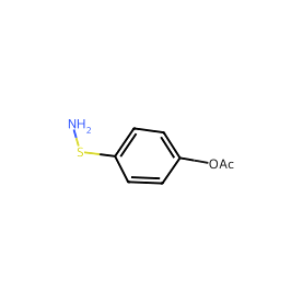 CC(=O)Oc1ccc(SN)cc1